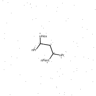 CCCCCCC(CCC)CC(CCC)CCCCC